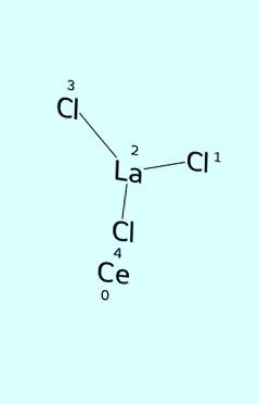 [Ce].[Cl][La]([Cl])[Cl]